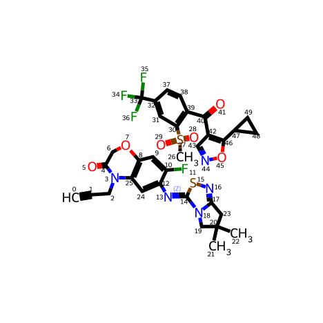 C#CCN1C(=O)COc2cc(F)c(/N=c3\snc4n3CC(C)(C)C4)cc21.CS(=O)(=O)c1cc(C(F)(F)F)ccc1C(=O)c1cnoc1C1CC1